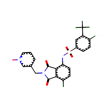 O=C1c2c(Cl)ccc(NS(=O)(=O)c3ccc(Cl)c(C(F)(F)F)c3)c2C(=O)N1Cc1ccc[n+](O)c1